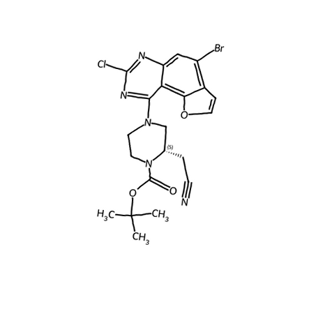 CC(C)(C)OC(=O)N1CCN(c2nc(Cl)nc3cc(Br)c4ccoc4c23)C[C@@H]1CC#N